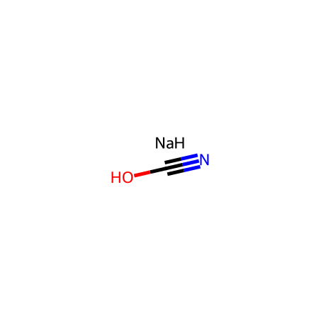 N#CO.[NaH]